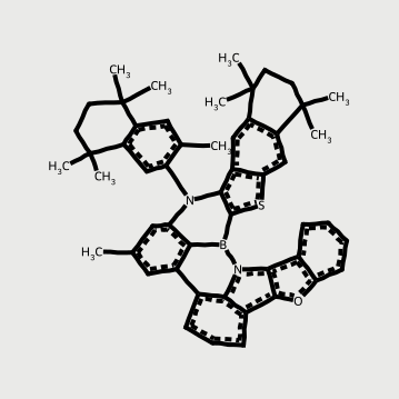 Cc1cc2c3c(c1)N(c1cc4c(cc1C)C(C)(C)CCC4(C)C)c1c(sc4cc5c(cc14)C(C)(C)CCC5(C)C)B3n1c3c-2cccc3c2oc3ccccc3c21